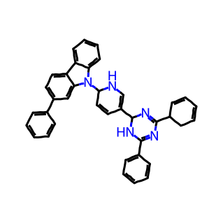 C1=CCC(C2=NC(C3=CNC(n4c5ccccc5c5ccc(-c6ccccc6)cc54)C=C3)NC(c3ccccc3)=N2)C=C1